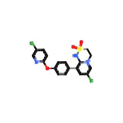 O=S1(=O)CC[n+]2cc(Cl)cc(-c3ccc(Oc4ccc(Cl)cn4)cc3)c2N1